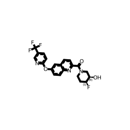 O=C(c1ccc2cc(Oc3ccc(C(F)(F)F)cn3)ccc2n1)N1CC[C@H](F)[C@H](O)C1